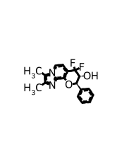 Cc1nc2c3c(ccn2c1C)C(F)(F)[C@H](O)[C@@H](c1ccccc1)O3